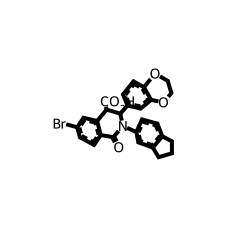 O=C(O)C1c2cc(Br)ccc2C(=O)N(c2ccc3c(c2)CCC3)C1c1ccc2c(c1)OCCO2